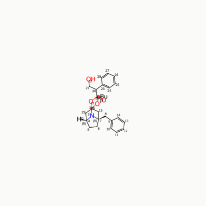 CCCCOCN1[C@@H]2CC[C@@]1(Cc1ccccc1)C[C@@H](OC(=O)C(CO)c1ccccc1)C2